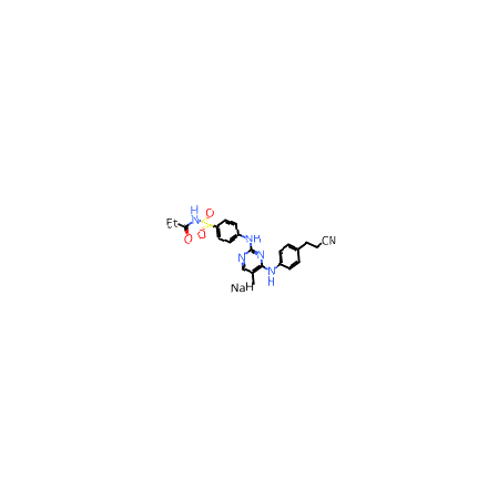 CCC(=O)NS(=O)(=O)c1ccc(Nc2ncc(C)c(Nc3ccc(CCC#N)cc3)n2)cc1.[NaH]